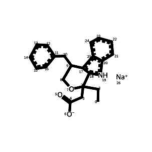 CCC1(CC(=O)[O-])OCC(Cc2ccccc2)c2c1[nH]c1ccccc21.[Na+]